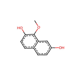 COc1c(O)ccc2ccc(O)cc12